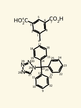 Cc1cc(C(=O)O)cc(C(=O)O)c1.c1ccc(C(c2ccccc2)(c2ccccc2)n2cnnn2)cc1